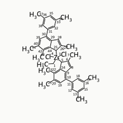 C[CH2][Zr]([Cl])([Cl])([CH]1C(C)=Cc2c(-c3cc(C)cc(C)c3)cc(C)c(C)c21)[CH]1C(C)=Cc2c(-c3cc(C)cc(C)c3)cc(C)c(C)c21